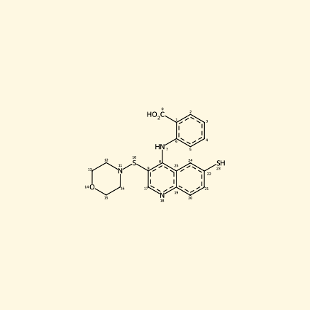 O=C(O)c1ccccc1Nc1c(SN2CCOCC2)cnc2ccc(S)cc12